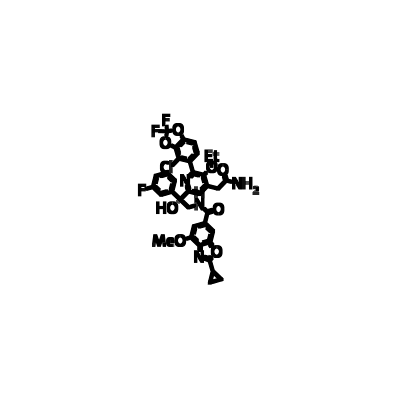 CCOc1c(CC(N)=O)cc([C@@](O)(CNC(=O)c2cc(OC)c3nc(C4CC4)oc3c2)c2cccc(F)c2)nc1-c1ccc2c(c1Cl)OC(F)(F)O2